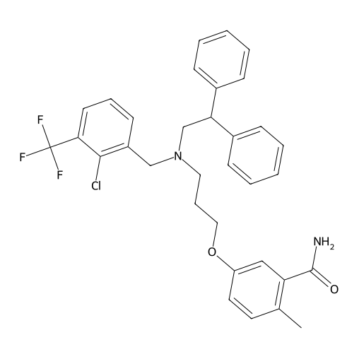 Cc1ccc(OCCCN(Cc2cccc(C(F)(F)F)c2Cl)CC(c2ccccc2)c2ccccc2)cc1C(N)=O